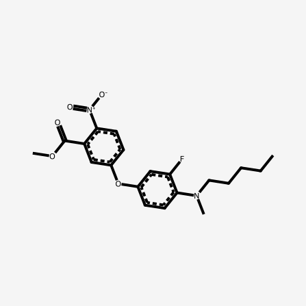 CCCCCN(C)c1ccc(Oc2ccc([N+](=O)[O-])c(C(=O)OC)c2)cc1F